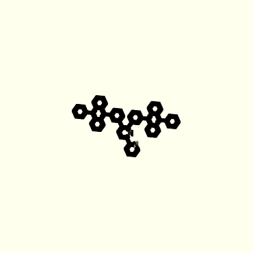 c1ccc(-c2c3ccccc3c(-c3cccc(-c4ccc(-c5ccccn5)nc4-c4cccc(-c5c6ccccc6c(-c6ccccc6)c6ccccc56)c4)c3)c3ccccc23)cc1